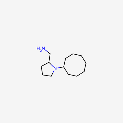 NCC1CCCN1C1CCCCCCC1